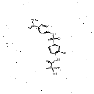 COC(=O)c1ccc(NS(=O)(=O)c2ccc(NC(=O)[C@@](C)(O)C(F)(F)F)c(Cl)c2)cc1